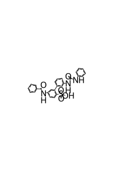 O=C(Nc1ccccc1)Nc1cccc(-c2cc(NC(=O)c3ccccc3)ccc2S(=O)(=O)O)c1